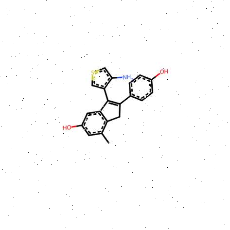 Cc1cc(O)cc2c1CC(c1ccc(O)cc1)=C2c1cscc1N